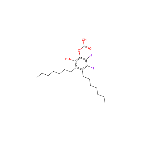 CCCCCCCc1c(O)c(OC(=O)O)c(I)c(I)c1CCCCCCC